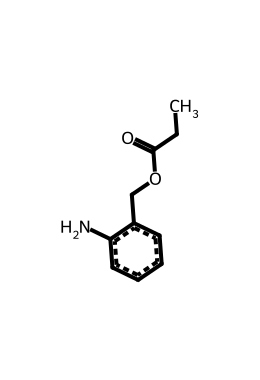 CCC(=O)OCc1ccccc1N